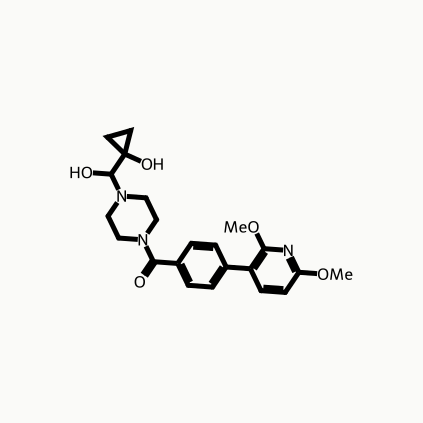 COc1ccc(-c2ccc(C(=O)N3CCN(C(O)C4(O)CC4)CC3)cc2)c(OC)n1